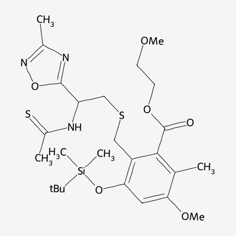 COCCOC(=O)c1c(C)c(OC)cc(O[Si](C)(C)C(C)(C)C)c1CSCC(NC(C)=S)c1nc(C)no1